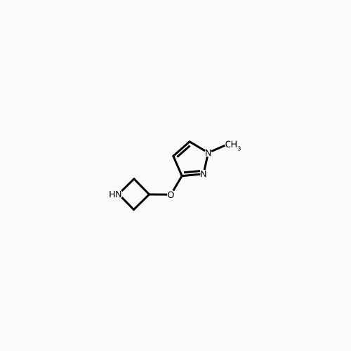 Cn1ccc(OC2CNC2)n1